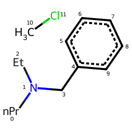 CCCN(CC)Cc1ccccc1.CCl